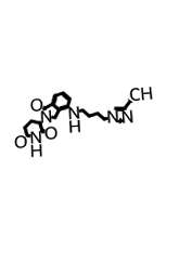 C#Cc1cn(CCCCNc2cccc3c2CN(C2CCC(=O)NC2=O)C3=O)cn1